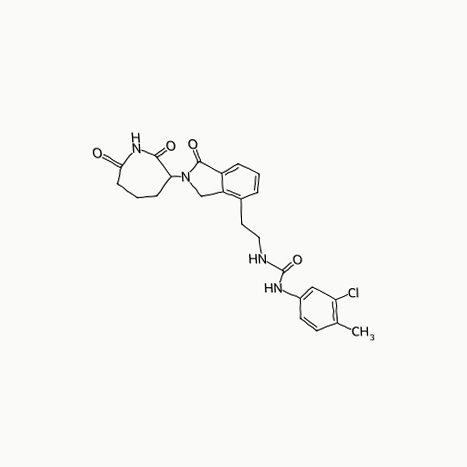 Cc1ccc(NC(=O)NCCc2cccc3c2CN(C2CCCC(=O)NC2=O)C3=O)cc1Cl